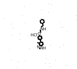 Cc1c(-c2ccc(OCCNCCC3CCCCC3)cc2)ccc2[nH]cnc12.Cl